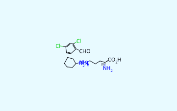 NC1CCCCC1.NCCC[C@H](N)C(=O)O.O=Cc1ccc(Cl)cc1Cl